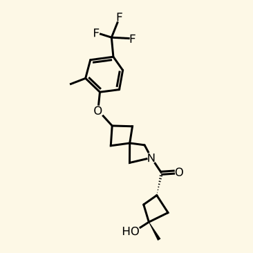 Cc1cc(C(F)(F)F)ccc1OC1CC2(C1)CN(C(=O)[C@H]1C[C@@](C)(O)C1)C2